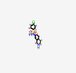 O=S(=O)(Nc1ccc2c(c1)CNCC2)c1ccc(Cl)cc1